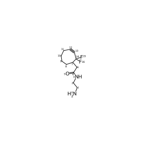 NCCNC(=O)CC1CCCCC#CC1(F)F